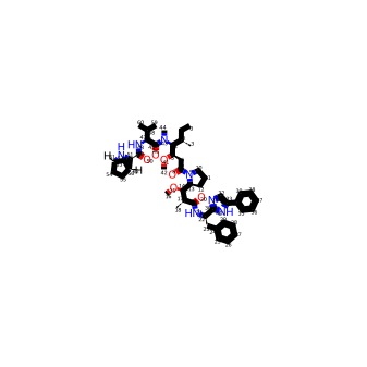 CC[C@H](C)[C@@H]([C@@H](CC(=O)N1CCC[C@H]1[C@H](OC)[C@@H](C)C(=O)N[C@@H](Cc1ccccc1)c1ncc(-c2ccccc2)[nH]1)OC)N(C)C(=O)[C@@H](NC(=O)[C@H]1N[C@@H]2CC[C@H]1C2)C(C)C